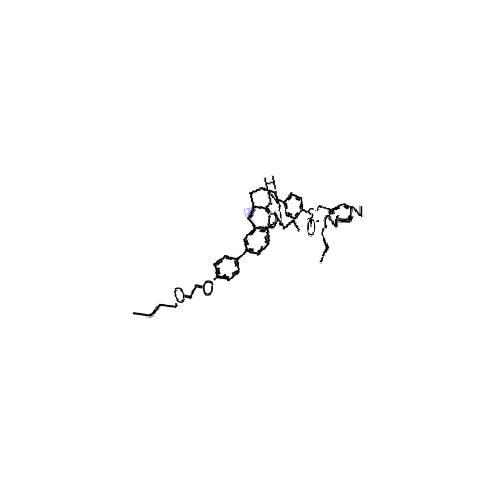 CCCCOCCOc1ccc(-c2ccc3c(c2)/C=C(\C(=O)Nc2ccc([S+]([O-])Cc4cncn4CCC)cc2)CCCCN3CCC)cc1